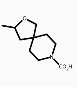 CC1CC2(CCN(C(=O)O)CC2)CO1